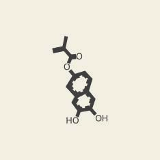 C=C(C)C(=O)Oc1ccc2cc(O)c(O)cc2c1